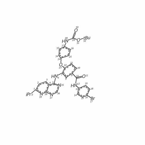 CC(C)c1ccc2c(Nc3cc(C(=O)Nc4ccc(Br)cc4)ccc3Oc3ccc(NC(=O)OC(C)(C)C)cc3)ncnc2n1